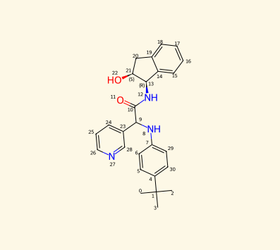 CC(C)(C)c1ccc(NC(C(=O)N[C@@H]2c3ccccc3C[C@@H]2O)c2cccnc2)cc1